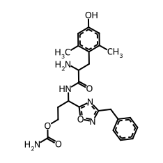 Cc1cc(O)cc(C)c1CC(N)C(=O)NC(CCOC(N)=O)c1nc(Cc2ccccc2)no1